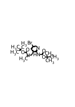 CN(Cc1cc(Br)cnc1NC(=O)OC(C)(C)C)C(=O)OC(C)(C)C